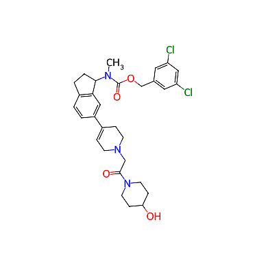 CN(C(=O)OCc1cc(Cl)cc(Cl)c1)C1CCc2ccc(C3=CCN(CC(=O)N4CCC(O)CC4)CC3)cc21